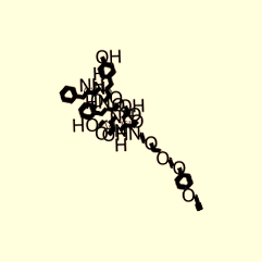 C#CCOc1ccc(OCCOCCOCCNC(=O)[C@H](CC(=O)O)NC(=O)[C@H](CC(=O)O)NC(=O)C(Cc2ccccc2)NC(=O)C(Cc2ccc(O)cc2)NC(=O)[C@@H](N)Cc2ccccc2)cc1